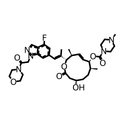 C/C(=C\c1cc(F)c2cnn(CC(=O)N3CCOCC3)c2c1)[C@H]1OC(=O)C[C@H](O)CC[C@H](C)[C@@H](OC(=O)N2CCN(C)CC2)/C=C/[C@@H]1C